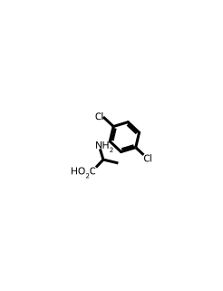 CC(N)C(=O)O.Clc1ccc(Cl)cc1